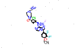 C[N+](C)(C)CCN1CCN(C(=O)c2ccc(Nc3nccn4c(-c5ccc(OCC#N)c(F)c5F)cnc34)cc2Cl)CC1.[I-]